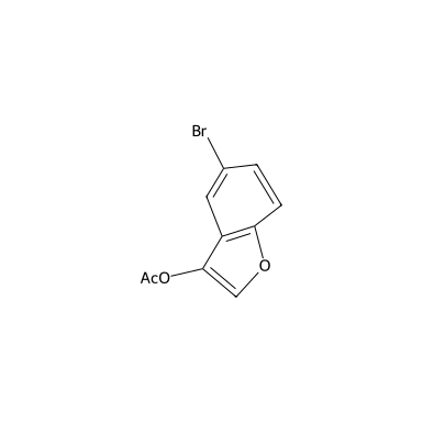 CC(=O)Oc1coc2ccc(Br)cc12